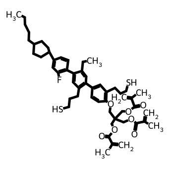 C=C(C)C(=O)OCC(COC(=O)C(=C)C)(COC(=O)C(=C)C)COc1ccc(-c2cc(CC)c(-c3ccc(C4CCC(CCCCC)CC4)cc3F)cc2CCCS)cc1CCCS